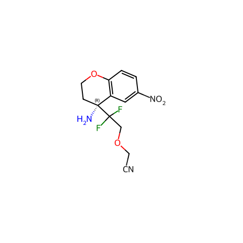 N#CCOCC(F)(F)[C@@]1(N)CCOc2ccc([N+](=O)[O-])cc21